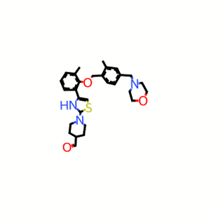 Cc1cc(CN2CCOCC2)ccc1COc1c(C)cccc1C1=CSC(N2CCC(C=O)CC2)N1